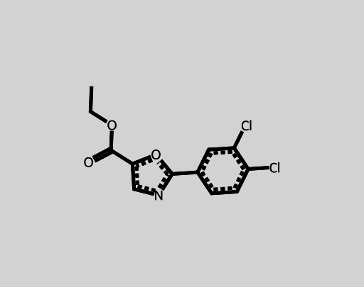 CCOC(=O)c1cnc(-c2ccc(Cl)c(Cl)c2)o1